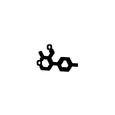 Cc1ccc(C2=C(C=O)C(C)OCC2)cc1